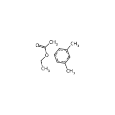 CCOC(C)=O.Cc1cccc(C)c1